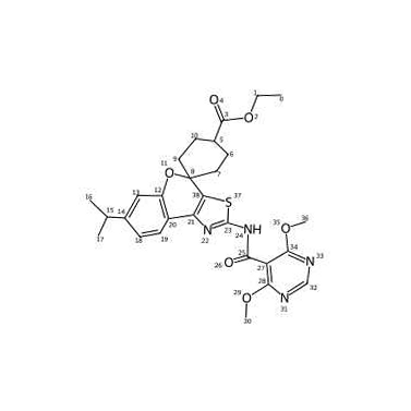 CCOC(=O)C1CCC2(CC1)Oc1cc(C(C)C)ccc1-c1nc(NC(=O)c3c(OC)ncnc3OC)sc12